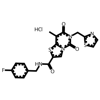 Cc1c(=O)n(Cc2nccs2)c(=O)n2cc(C(=O)NCc3ccc(F)cc3)sc12.Cl